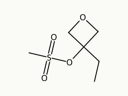 CCC1(OS(C)(=O)=O)COC1